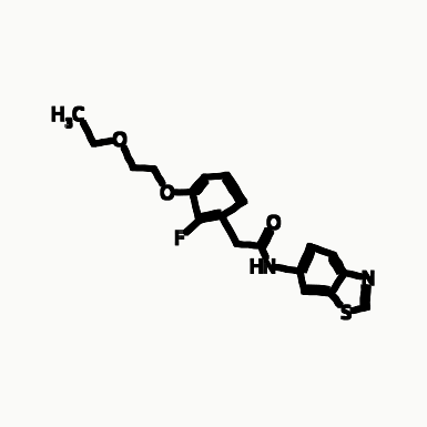 CCOCCOc1cccc(CC(=O)Nc2ccc3ncsc3c2)c1F